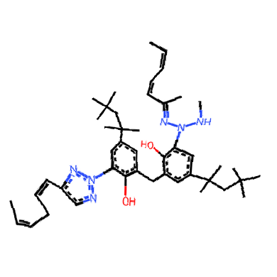 C\C=C/C=C\C(C)=N\N(NC)c1cc(C(C)(C)CC(C)(C)C)cc(Cc2cc(C(C)(C)CC(C)(C)C)cc(-n3ncc(/C=C\C/C=C\C)n3)c2O)c1O